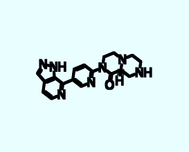 O=C1[C@H]2CNCCN2CCN1c1ccc(-c2nccc3cn[nH]c23)cn1